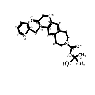 CC(C)(C)OC(=O)N1CCc2cc3c(cc2CC1)N(Cc1ccccn1)C(=O)CO3